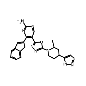 CC1CC(c2cnn[nH]2)CCN1c1nnc(-c2cnc(N)nc2C2=Cc3ccccc3C2)o1